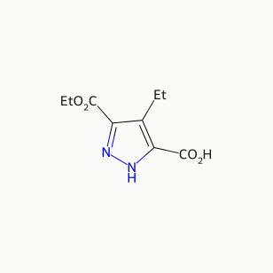 CCOC(=O)c1n[nH]c(C(=O)O)c1CC